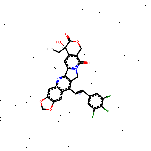 CC[C@@]1(O)C(=O)OCc2c1cc1n(c2=O)Cc2c-1nc1cc3c(cc1c2/C=C/c1cc(F)c(F)c(F)c1)OCO3